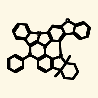 CC12CCCCC1(C)N1c3c2ccc2c3B3c4c(cc5oc6ccccc6c5c41)-n1c3c(c3ccccc31)N2c1ccccc1